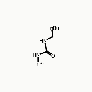 CCCCCNC(=O)NCCC